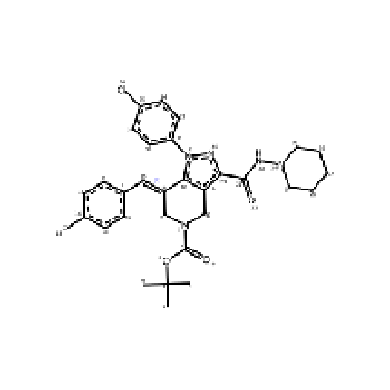 CC(C)(C)OC(=O)N1C/C(=C\c2ccc(F)cc2)c2c(c(C(=O)NN3CCCCC3)nn2-c2ccc(Cl)cc2)C1